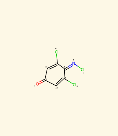 O=C1C=C(Cl)C(=NCl)C(Cl)=C1